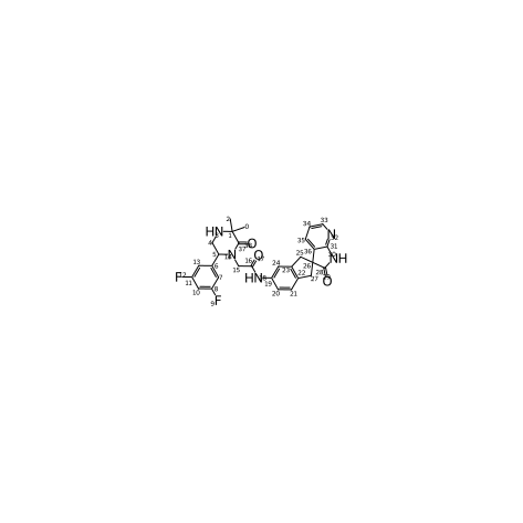 CC1(C)NCC(c2cc(F)cc(F)c2)N(CC(=O)Nc2ccc3c(c2)CC2(C3)C(=O)Nc3ncccc32)C1=O